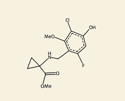 COC(=O)C1(NCc2c(F)cc(O)c(Cl)c2OC)CC1